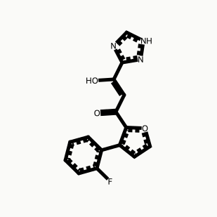 O=C(C=C(O)c1nc[nH]n1)c1occc1-c1ccccc1F